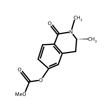 COC(=O)Oc1ccc2c(c1)C[C@@H](C)N(C)C2=O